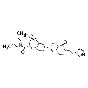 CCCN(CCC)C(=O)C1=Cc2ccc(-c3ccc4c(=O)n(CCn5ccnc5)ccc4c3)cc2N=C(N)C1